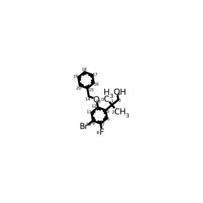 CC(C)(CO)c1cc(F)c(Br)cc1OCc1ccccc1